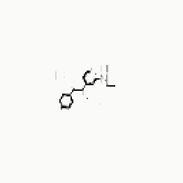 CC(C)CNc1cc(C(N)C(=O)c2ccc(F)cc2)ccn1.Cl